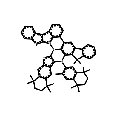 Cc1cc2c(cc1N1c3c4c(cc5c3C(C)(C)c3ccccc3-5)-c3cccc5c6c7ccccc7sc6n(c35)B4c3sc4cc5c(cc4c31)C(C)(C)CCC5(C)C)C(C)(C)CCC2(C)C